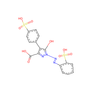 O=C(O)c1nn(N=Nc2ccccc2S(=O)(=O)O)c(O)c1-c1ccc(S(=O)(=O)O)cc1